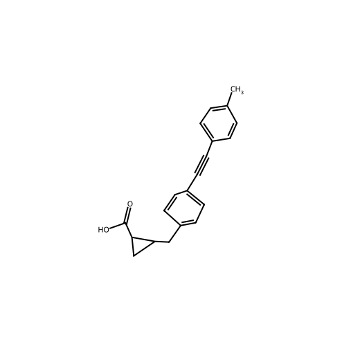 Cc1ccc(C#Cc2ccc(CC3CC3C(=O)O)cc2)cc1